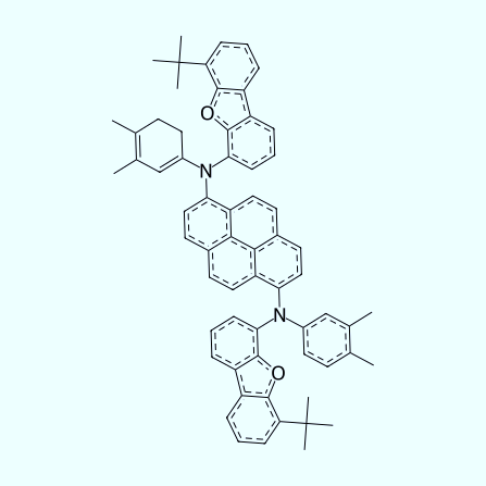 CC1=C(C)CCC(N(c2ccc3ccc4c(N(c5ccc(C)c(C)c5)c5cccc6c5oc5c(C(C)(C)C)cccc56)ccc5ccc2c3c54)c2cccc3c2oc2c(C(C)(C)C)cccc23)=C1